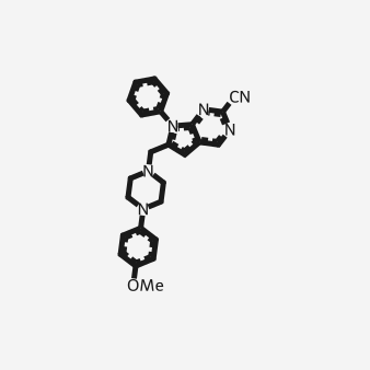 COc1ccc(N2CCN(Cc3cc4cnc(C#N)nc4n3-c3ccccc3)CC2)cc1